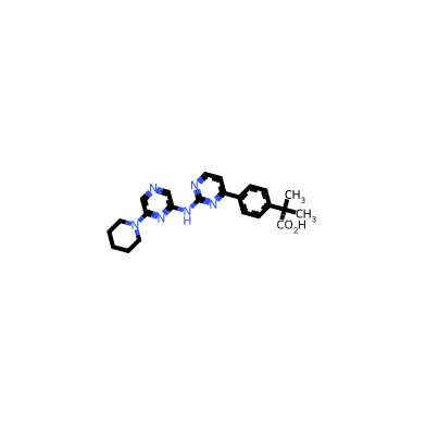 CC(C)(C(=O)O)c1ccc(-c2ccnc(Nc3cncc(N4CCCCC4)n3)n2)cc1